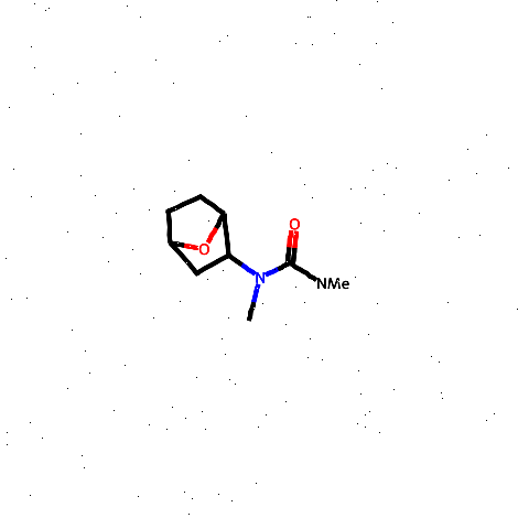 CNC(=O)N(C)C1CC2CCC1O2